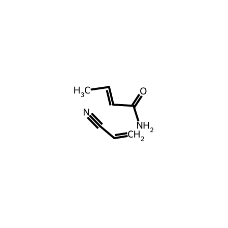 C=CC#N.CC=CC(N)=O